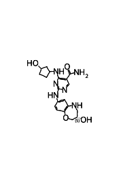 NC(=O)c1cnc(Nc2ccc3c(c2)NC[C@H](O)CO3)nc1NC1CCC(O)C1